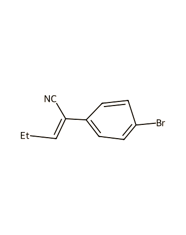 CCC=C(C#N)c1ccc(Br)cc1